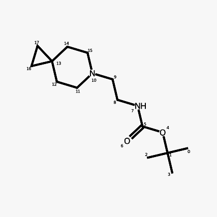 CC(C)(C)OC(=O)NCCN1CCC2(CC1)CC2